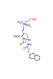 C[N+](C)(C/C=C/C1=C(C(=O)[O-])N2C(=O)[C@@H](NC(=O)CSc3ccc4ccccc4c3)[C@H]2SC1)CCCO